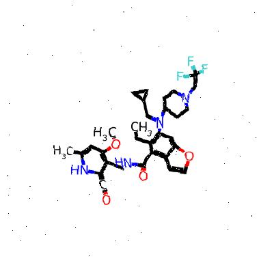 CCc1c(N(CC2CC2)C2CCN(CC(F)(F)F)CC2)cc2occc2c1C(=O)NCC1=C(OC)C=C(C)NC1=C=O